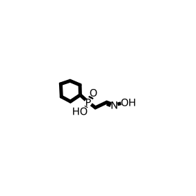 O=P(O)(CC=NO)C1CCCCC1